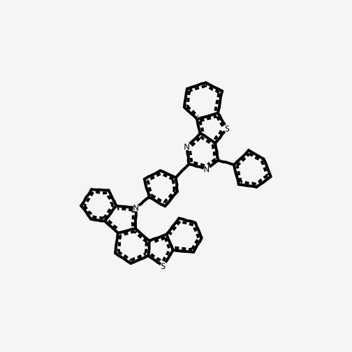 c1ccc(-c2nc(-c3ccc(-n4c5ccccc5c5ccc6sc7ccccc7c6c54)cc3)nc3c2sc2ccccc23)cc1